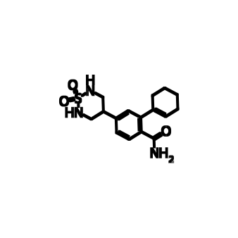 NC(=O)c1ccc(C2CNS(=O)(=O)NC2)cc1C1=CCCCC1